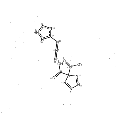 O=C(O)C1([N+](=O)[O-])N=NN=N1.[N-]=[N+]=Nc1nc[nH]n1